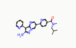 CC(C)CN(C)C(=O)c1ccc(-c2cnc3c(-c4ccccn4)c(N)nn3c2)nc1